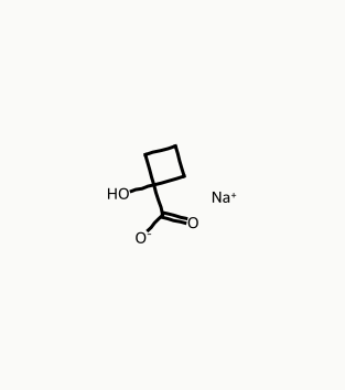 O=C([O-])C1(O)CCC1.[Na+]